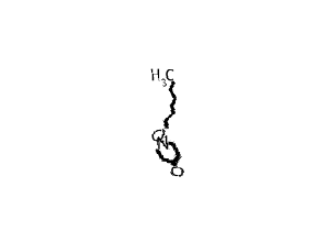 CCCCCCCCON1CCC(=O)CC1